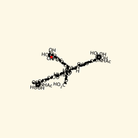 CC(=O)N[C@H]1[C@H](OCCOCCOCCOCC(=O)NCCCC[C@H](NC(=O)COCCOCCOCCO[C@@H]2O[C@H](CO)[C@H](O)[C@H](O)[C@H]2NC(C)=O)C(=O)N[C@@H](CCCCNC(=O)COCCOCCOCCOC2O[C@H](CO)[C@H](O)[C@H](O)[C@H]2NC(C)=O)C(=O)NCCOCCC(=O)O)O[C@H](CO)[C@H](O)[C@@H]1O